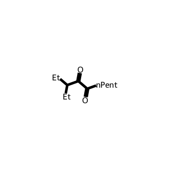 CCCCCC(=O)C(=O)C(CC)CC